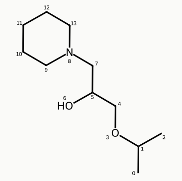 CC(C)OCC(O)CN1CCCCC1